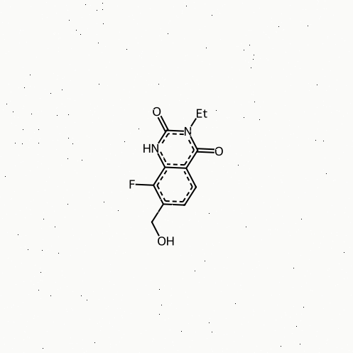 CCn1c(=O)[nH]c2c(F)c(CO)ccc2c1=O